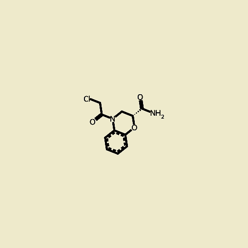 NC(=O)[C@H]1CN(C(=O)CCl)c2ccccc2O1